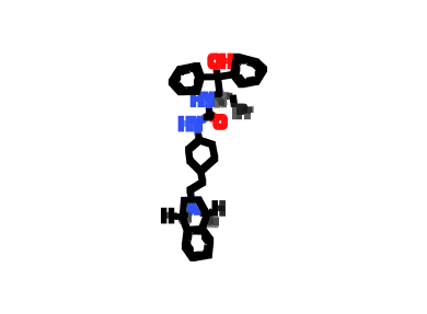 CC(C)C[C@H](NC(=O)NC1CCC(CCN2[C@@H]3CC[C@H]2c2ccccc23)CC1)C(O)(c1ccccc1)c1ccccc1